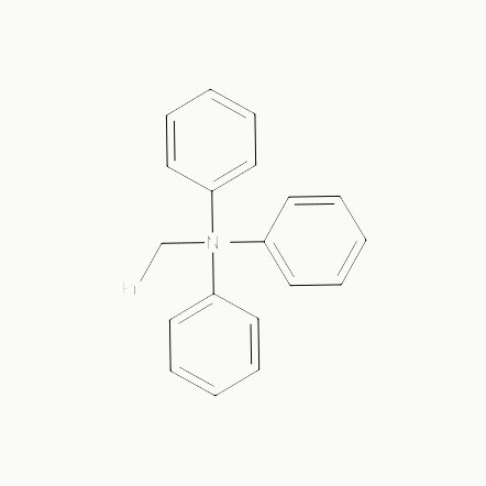 CC(C)C[N+](c1ccccc1)(c1ccccc1)c1ccccc1